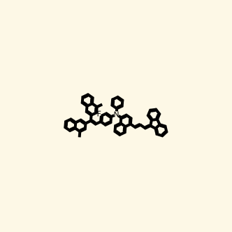 Cc1cc(C(=Cc2ccc(N(c3ccccc3)c3ccc(/C=C/C=C4c5ccccc5-c5ccccc54)c4ccccc34)cc2F)c2cc(C)c3ccccc3c2)cc2ccccc12